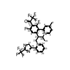 Cc1cc[n+]2c(c1)-c1c(cc(F)c(C(=O)C(F)(F)F)c1F)C(C[n+]1ccccc1C1=NC(C(F)(F)F)=NC1)C2C